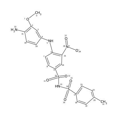 COc1cc(Nc2ccc(S(=O)(=O)NS(=O)(=O)c3ccc(C)cc3)cc2[N+](=O)[O-])ccc1N